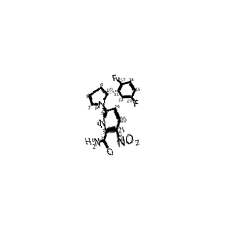 NC(=O)c1nc(N2CCC[C@@H]2c2cc(F)ccc2F)ccc1[N+](=O)[O-]